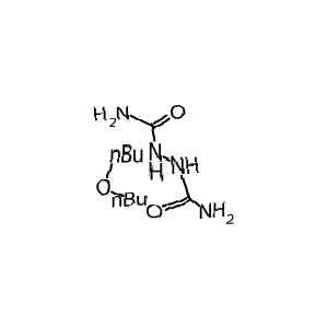 CCCCOCCCC.NC(=O)NNC(N)=O